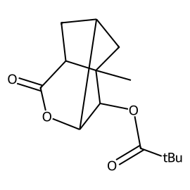 CC(C)(C)C(=O)OC1C2OC(=O)C3CC2CC31C